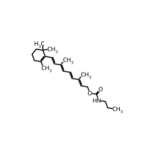 CCCNC(=O)OC/C=C(C)/C=C/C=C(C)/C=C/C1=C(C)CCCC1(C)C